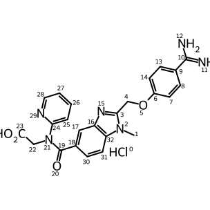 Cl.Cn1c(COc2ccc(C(=N)N)cc2)nc2cc(C(=O)N(CC(=O)O)c3ccccn3)ccc21